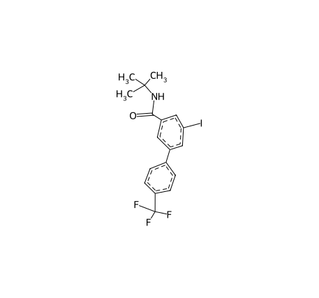 CC(C)(C)NC(=O)c1cc(I)cc(-c2ccc(C(F)(F)F)cc2)c1